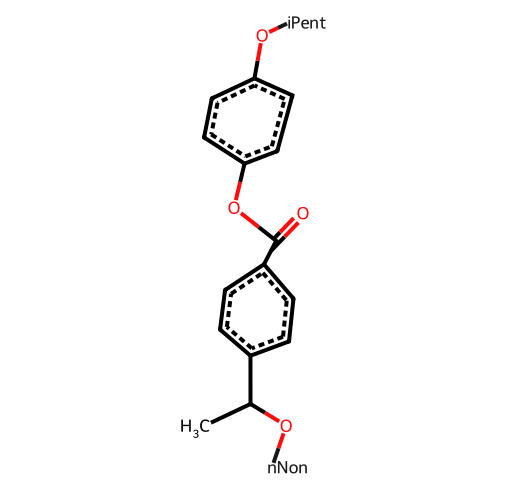 CCCCCCCCCOC(C)c1ccc(C(=O)Oc2ccc(OC(C)CCC)cc2)cc1